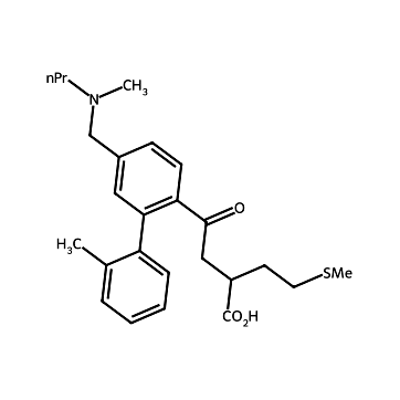 CCCN(C)Cc1ccc(C(=O)CC(CCSC)C(=O)O)c(-c2ccccc2C)c1